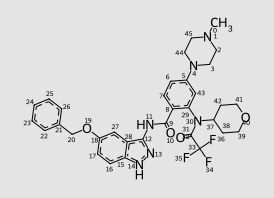 CN1CCN(c2ccc(C(=O)Nc3n[nH]c4ccc(OCc5ccccc5)cc34)c(N(C(=O)C(F)(F)F)C3CCOCC3)c2)CC1